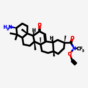 C#CON(C(=O)[C@@]1(C)CC[C@]2(C)CC[C@]3(C)C(=CC(=O)[C@@H]4[C@@]5(C)CC[C@H](N)C(C)(C)C5CC[C@]43C)[C@@H]2C1)C(F)(F)F